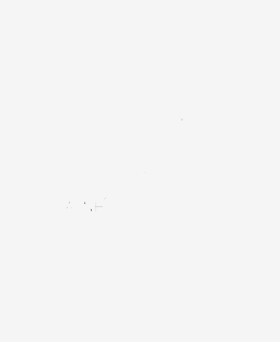 CC(=O)N[C@@H](C)C(OCc1cc(C)cc(C)c1)c1ccccc1